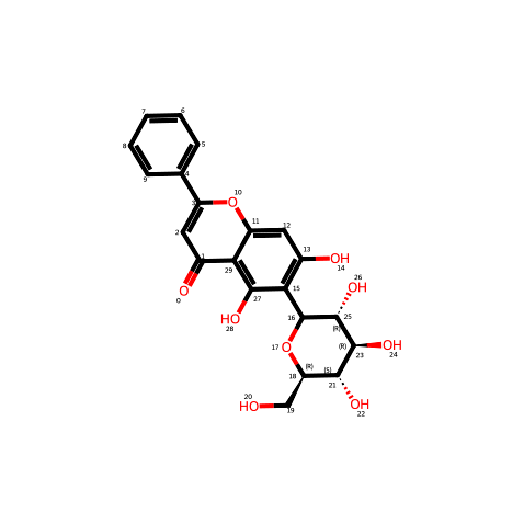 O=c1cc(-c2ccccc2)oc2cc(O)c(C3O[C@H](CO)[C@@H](O)[C@H](O)[C@H]3O)c(O)c12